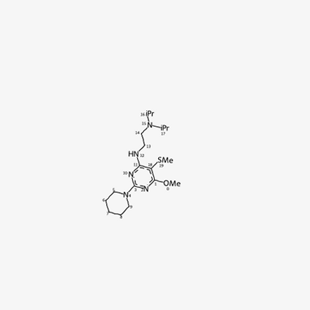 COc1nc(N2CCCCC2)nc(NCCN(C(C)C)C(C)C)c1SC